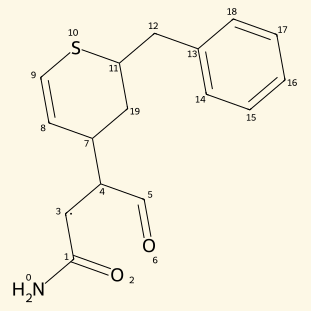 NC(=O)[CH]C(C=O)C1C=CSC(Cc2ccccc2)C1